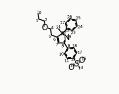 [CH2]CCOCCC1=CC(c2ccc(S(C)(=O)=O)cc2)=N[C@@]1(C)c1ccccc1